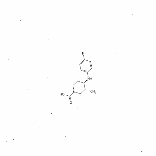 C[C@@H]1CN(C(=O)O)CC[C@H]1Nc1ccc(F)cc1